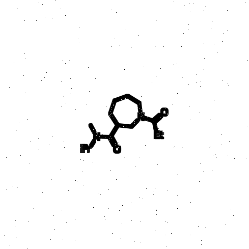 CCC(=O)N1CCCCC(C(=O)N(C)C(C)C)C1